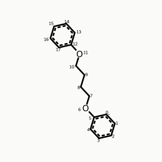 [c]1ccccc1OCCCCOc1ccccc1